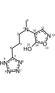 CN(CCCc1nnn[nH]1)c1cnoc1O